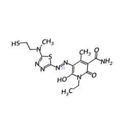 CCn1c(O)c(/N=N/c2nnc(N(C)CCS)s2)c(C)c(C(N)=O)c1=O